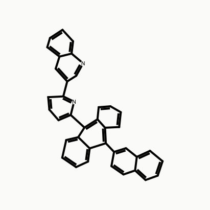 c1cc(-c2cnc3ccccc3c2)nc(-c2c3ccccc3c(-c3ccc4ccccc4c3)c3ccccc23)c1